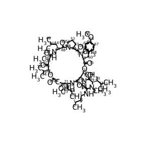 CCCCNC(=S)N(C)[C@H](CC(C)C)C(=O)N[C@@H]1C(=O)NC([C@@H](C)CC)[C@@H](O)CC(=O)O[C@@H](C(C)C)C(=O)[C@H](C)C(=O)N[C@@H](CC(C)C)C(=O)N2CCCC2C(=O)N(C)[C@@H](Cc2ccc(OC)cc2)C(=O)O[C@@H]1C